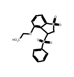 O=C(O)COc1cccc2c1C(S(=O)(=O)c1ccccc1)CS2(=O)=O